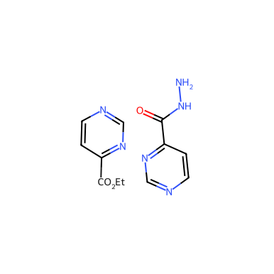 CCOC(=O)c1ccncn1.NNC(=O)c1ccncn1